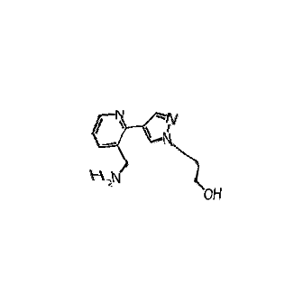 NCc1cccnc1-c1cnn(CCO)c1